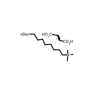 CCCCCCCCCCCCCCCCCC[N+](C)(C)C.O=C(O)/C=C/C(=O)O